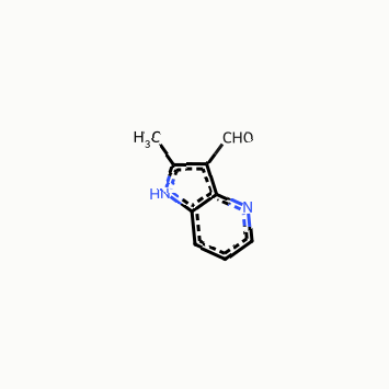 Cc1[nH]c2cccnc2c1C=O